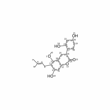 COc1c(CC=C(C)C)c(O)cc2oc(=O)c(-c3ccc(O)cc3O)cc12